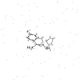 C=C(C)c1ccc(F)cc1CC[C@@H]1CCC[C@@H]1N